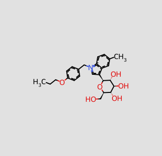 CCCOc1ccc(Cn2cc([C@@H]3O[C@H](CO)[C@@H](O)[C@H](O)[C@H]3O)c3cc(C)ccc32)cc1